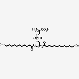 CCCCCCCCCCCCCCCCCCCCCC(=O)O[C@H](COC(=O)CCCCCCCCCCCCCCCCCCCC)COP(=O)(O)OC[C@H](N)C(=O)O